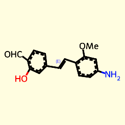 COc1cc(N)ccc1/C=C/c1ccc(C=O)c(O)c1